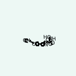 CC(CCn1cc2cc(-c3ccc(OCCCN4CCOCC4)cc3)ccc2n1)(C(=O)NO)S(C)(=O)=O